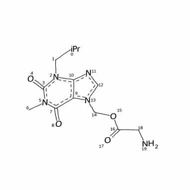 CC(C)Cn1c(=O)n(C)c(=O)c2c1ncn2COC(=O)CN